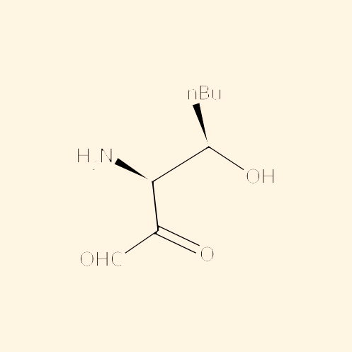 CCCC[C@@H](O)[C@H](N)C(=O)C=O